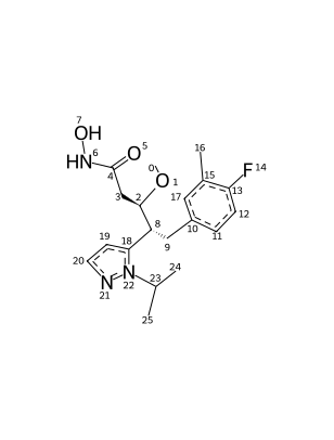 CO[C@H](CC(=O)NO)[C@H](Cc1ccc(F)c(C)c1)c1ccnn1C(C)C